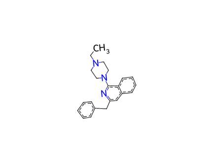 CCN1CCN(c2nc(Cc3ccccc3)cc3ccccc23)CC1